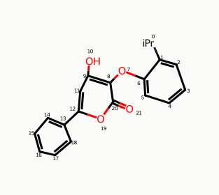 CC(C)c1ccccc1Oc1c(O)cc(-c2ccccc2)oc1=O